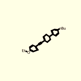 CCCCc1ccc(C2CC=C(C#Cc3ccc(OCC)cc3)CC2)cc1